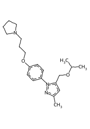 Cc1cc(COC(C)C)n(-c2ccc(OCCCN3CCCC3)cc2)n1